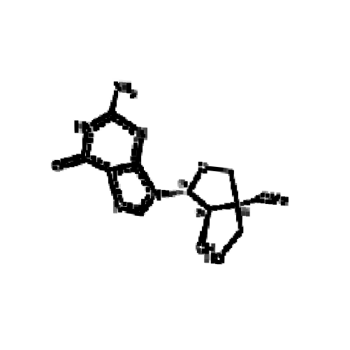 CO[C@@]1(CO)CO[C@@H](n2cnc3c(=O)[nH]c(N)nc32)[C@@H]1O